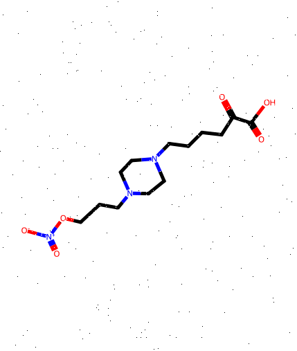 O=C(O)C(=O)CCCCN1CCN(CCCO[N+](=O)[O-])CC1